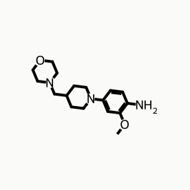 COc1cc(N2CCC(CN3CCOCC3)CC2)ccc1N